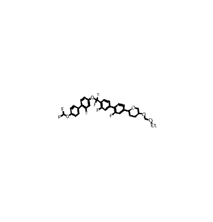 CCOCOC1CCC(c2ccc(-c3ccc(C(F)(F)Oc4ccc(-c5ccc(OC(F)F)cc5)c(F)c4)c(F)c3)c(F)c2)OC1